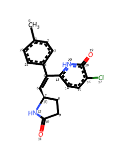 Cc1ccc(C(=C[C@H]2CCC(=O)N2)c2ccc(Cl)c(=O)[nH]2)cc1